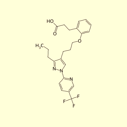 CCCc1nn(-c2ccc(C(F)(F)F)cn2)cc1CCCOc1ccccc1CCC(=O)O